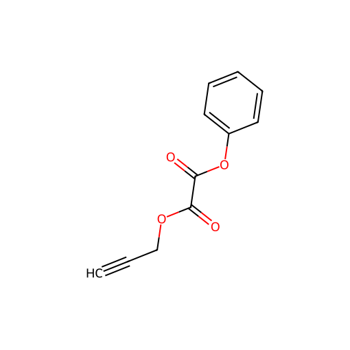 C#CCOC(=O)C(=O)Oc1ccccc1